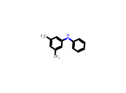 FC(F)(F)c1cc(Nc2ccccc2)cc(C(F)(F)F)c1